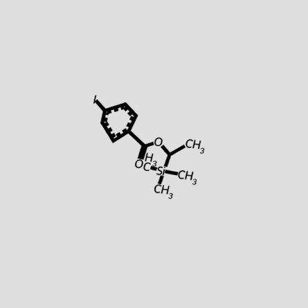 CC(OC(=O)c1ccc(I)cc1)[Si](C)(C)C